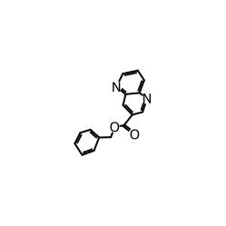 O=C(OCc1ccccc1)c1cnc2cccnc2c1